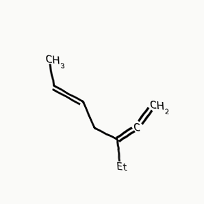 C=C=C(CC)CC=CC